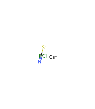 Cl.N#C[S-].[Cs+]